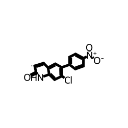 O=c1[c]cc2cc(-c3ccc([N+](=O)[O-])cc3)c(Cl)cc2[nH]1